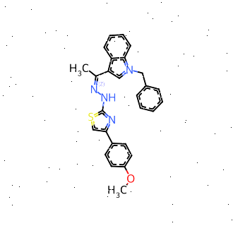 COc1ccc(-c2csc(N/N=C(/C)c3cn(Cc4ccccc4)c4ccccc34)n2)cc1